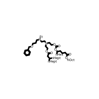 CCCCCCCCOC(=O)CCCC(CCCCCC)OC(=O)OCCN(CCOC(=O)CC(CCCCCCC)CCCCCCC)CCN(CC)CCCOCc1ccccc1